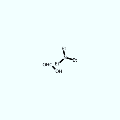 CCN(CC)CC.O=CO